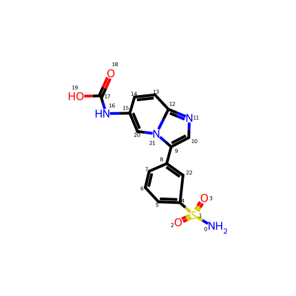 NS(=O)(=O)c1cccc(-c2cnc3ccc(NC(=O)O)cn23)c1